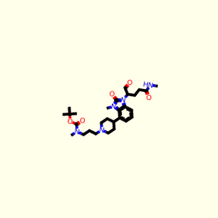 CNC(=O)CCC(C=O)n1c(=O)n(C)c2c(C3CCN(CCCN(C)C(=O)OC(C)(C)C)CC3)cccc21